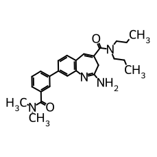 CCCN(CCC)C(=O)C1=Cc2ccc(-c3cccc(C(=O)N(C)C)c3)cc2N=C(N)C1